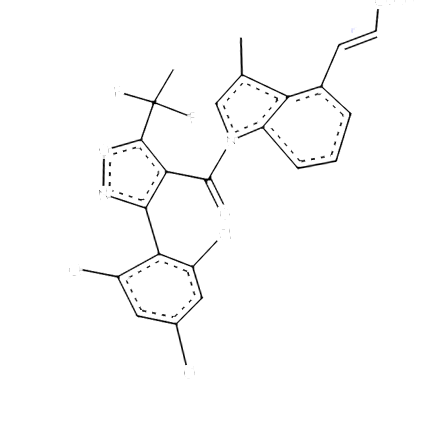 Cc1cn(C(=O)c2c(-c3c(Cl)cc(Cl)cc3Cl)noc2C(C)(F)F)c2cccc(/C=C/C(=O)O)c12